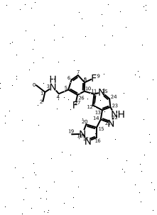 CC(C)NCc1ccc(F)c(-c2cc3c(-c4cnn(C)c4)n[nH]c3cn2)c1F